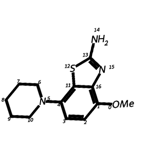 COc1ccc(N2CCCCC2)c2sc(N)nc12